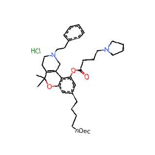 CCCCCCCCCCCCCCc1cc(OC(=O)CCCN2CCCC2)c2c(c1)OC(C)(C)C1=C2CN(CCc2ccccc2)CC1.Cl